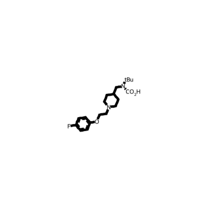 CC(C)(C)N(CC1CCN(CCOc2ccc(F)cc2)CC1)C(=O)O